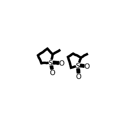 CC1CCCS1(=O)=O.CC1CCCS1(=O)=O